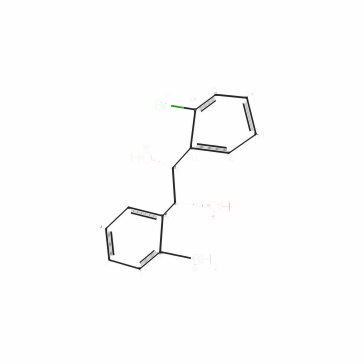 Bc1ccccc1[C@@H](O)[C@H](O)c1ccccc1Br